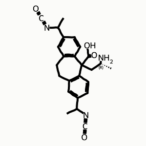 CC(N=C=O)c1ccc2c(c1)CCc1cc(C(C)N=C=O)ccc1C2(C[C@@H](C)N)C(=O)O